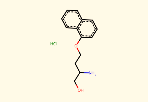 Cl.NC(CO)CCOc1cccc2ccccc12